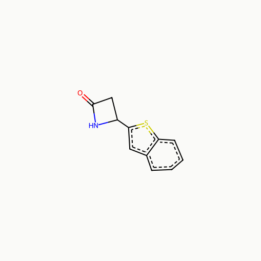 O=C1CC(c2cc3ccccc3s2)N1